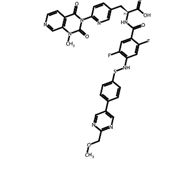 COCc1ncc(-c2ccc(SNc3cc(F)c(C(=O)N[C@@H](Cc4ccc(-n5c(=O)c6ccncc6n(C)c5=O)nc4)C(=O)O)cc3F)cc2)cn1